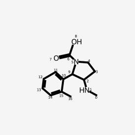 CNC1CCN(C(=O)O)C1c1ccccc1C